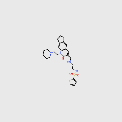 O=c1c(CNCCNS(=O)(=O)c2cccs2)cc2cc3c(cc2n1CCN1CCCCC1)CCC3